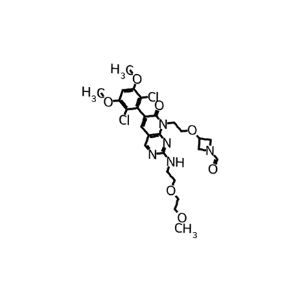 COCCOCCNc1ncc2cc(-c3c(Cl)c(OC)cc(OC)c3Cl)c(=O)n(CCOC3CN(C=O)C3)c2n1